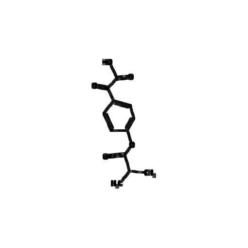 CC(C)C(=O)Oc1ccc(C(=O)C(=O)O)cc1